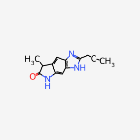 CCCc1nc2cc3c(cc2[nH]1)NC(=O)C3C